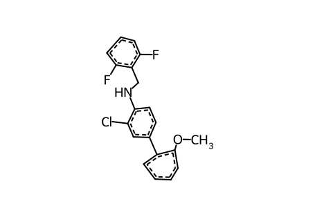 COc1ccccc1-c1ccc(NCc2c(F)cccc2F)c(Cl)c1